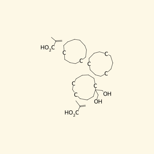 C1CCCCCCCCCCC1.C1CCCCCCCCCCC1.C=C(C)C(=O)O.C=C(C)C(=O)O.OCC1(CO)CCCCCCCCCCC1